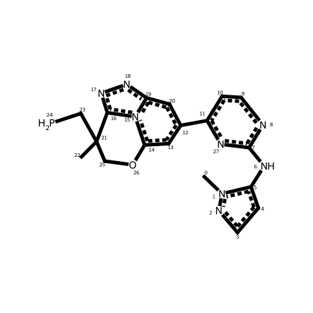 Cn1nccc1Nc1nccc(-c2cc3n4c(nnc4c2)C(C)(CP)CO3)n1